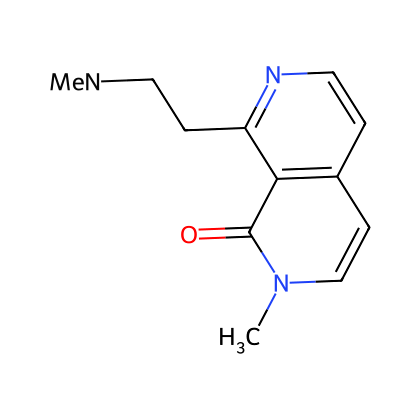 CNCCc1nccc2ccn(C)c(=O)c12